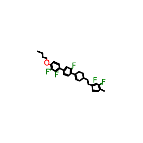 CCCCOc1ccc(-c2ccc(C3=CCC(CCc4ccc(C)c(F)c4F)CC3)c(F)c2)c(F)c1F